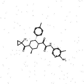 Cc1ccc([C@H]2CN(C(=O)C3(C(F)(F)F)CC3)[C@H](C)CN2C(=O)C(=O)Nc2cnc(N)c(C)c2)cc1